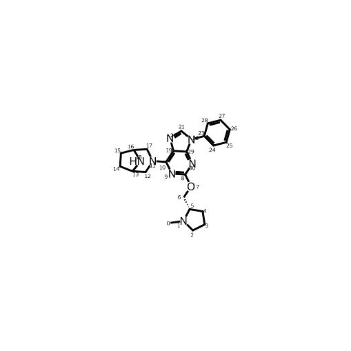 CN1CCC[C@H]1COc1nc(N2CC3CCC(C2)N3)c2ncn(-c3ccccc3)c2n1